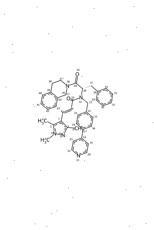 Cc1nn(C)c(C)c1/C=C/C(=O)N(Cc1ccc(-c2ccncc2)cc1)[C@@H](Cc1ccccc1)C(=O)N1CCc2ccccc2C1